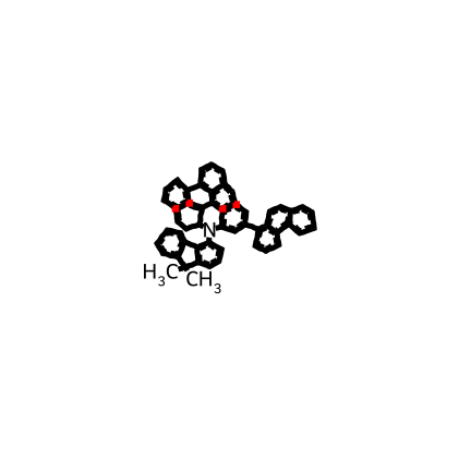 CC1(C)c2ccccc2-c2c(N(c3cccc(-c4cccc5c4ccc4ccccc45)c3)C3CC=CC=C3c3cccc4cccc(-c5ccccc5)c34)cccc21